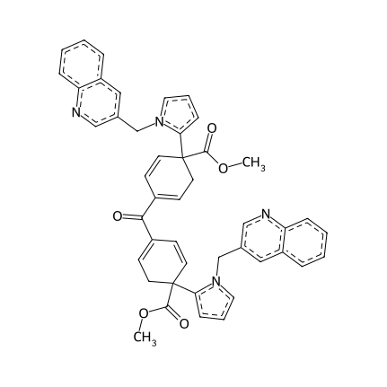 COC(=O)C1(c2cccn2Cc2cnc3ccccc3c2)C=CC(C(=O)C2=CCC(C(=O)OC)(c3cccn3Cc3cnc4ccccc4c3)C=C2)=CC1